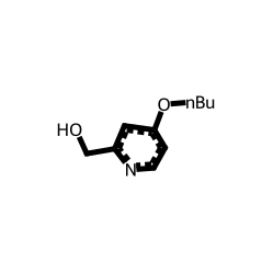 CCCCOc1ccnc(CO)c1